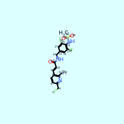 CC(C)c1nc(CF)ccc1/C=C/C(=O)NCc1cc(F)c(NS(C)(=O)=O)c(F)c1